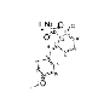 COc1ccc(C=C2C=CC=C(C)C2S(N)(=O)=O)cc1